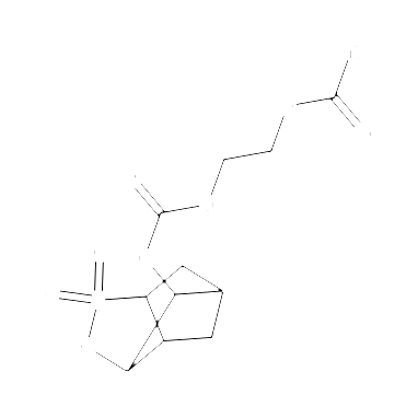 CCC(C)C(=O)OCCOC(=O)OC1C2CC3C1OS(=O)(=O)C3C2